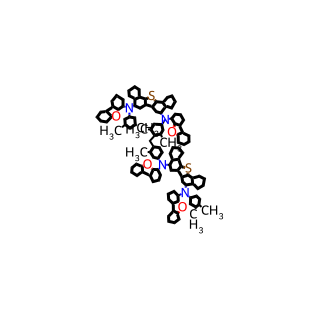 Cc1cc(C)cc(N(c2cc3c4cc(N(c5cc(C)c(Cc6ccc(N(c7cc8c9cc(N(c%10ccc(C)c(C)c%10)c%10cccc%11c%10oc%10ccccc%10%11)c%10ccccc%10c9sc8c8ccccc78)c7cccc8c7oc7ccccc78)cc6C)c(C)c5)c5cccc6c5oc5ccccc56)c5ccccc5c4sc3c3ccccc23)c2cccc3c2oc2ccccc23)c1